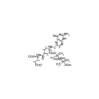 CCCCCCCCCC[N+](C)(C)CCCCCCCCCC.CCCCCCCCCC[N+](C)(C)CCCCCCCCCC.Nc1nc(=O)c2nc(CNc3ccc(C(=O)N[C@@H](CCC(=O)[O-])C(=O)[O-])cc3)cnc2[nH]1